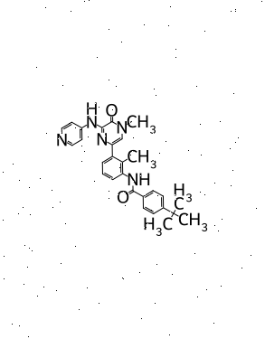 Cc1c(NC(=O)c2ccc(C(C)(C)C)cc2)cccc1-c1cn(C)c(=O)c(Nc2ccncc2)n1